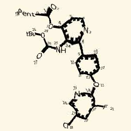 CCCCCC(=O)Oc1ccnc(-c2ccc(Oc3ncc(Cl)cc3F)cc2)c1NC(=O)OC(C)(C)C